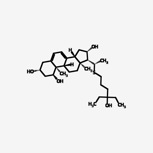 CCC(O)(CC)CCCS[C@@H](C)[C@H]1[C@@H](O)C[C@H]2C3=CC=C4C[C@@H](O)C[C@H](O)[C@]4(C)[C@H]3CC[C@]12C